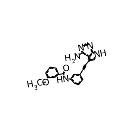 COc1cccc(C(=O)Nc2cccc(C#Cc3c[nH]c4ncnc(N)c34)c2)c1